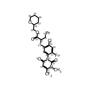 CC(C)CC(Sc1cc(-n2c(=O)cc(C(F)(F)F)n(C)c2=O)c(F)cc1Cl)C(=O)OCC1CCCCO1